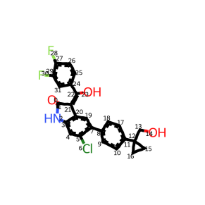 O=C1Nc2cc(Cl)c(-c3ccc(C4(CO)CC4)cc3)cc2C1=C(O)c1ccc(F)c(F)c1